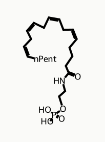 CCCCC/C=C\C/C=C\C/C=C\C/C=C\CCCC(=O)NCCOP(=O)(O)O